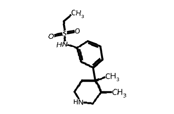 CCS(=O)(=O)Nc1cccc(C2(C)CCNCC2C)c1